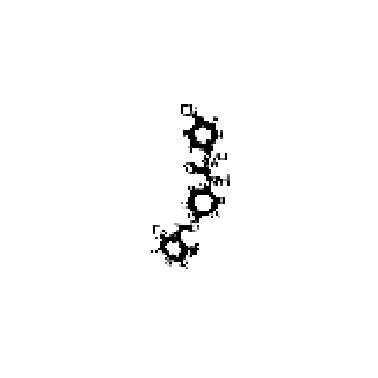 O=C(Nc1ccc(Cl)cc1)NC1CCC(OCc2c(F)cccc2F)CC1